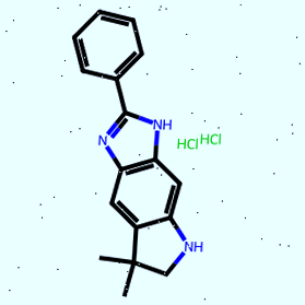 CC1(C)CNc2cc3[nH]c(-c4ccccc4)nc3cc21.Cl.Cl